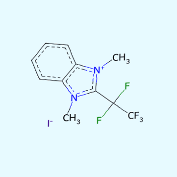 Cn1c(C(F)(F)C(F)(F)F)[n+](C)c2ccccc21.[I-]